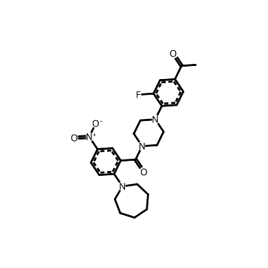 CC(=O)c1ccc(N2CCN(C(=O)c3cc([N+](=O)[O-])ccc3N3CCCCCC3)CC2)c(F)c1